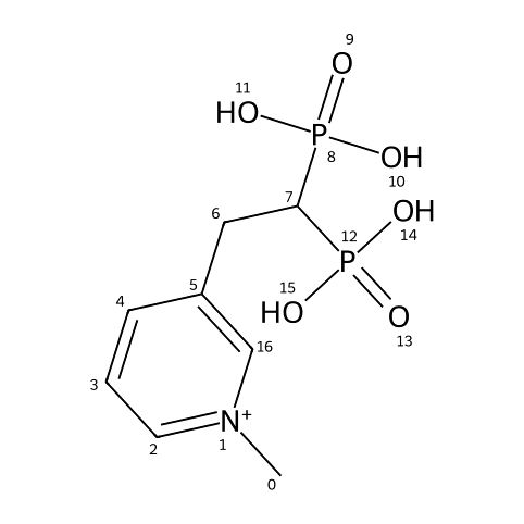 C[n+]1cccc(CC(P(=O)(O)O)P(=O)(O)O)c1